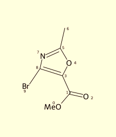 COC(=O)c1oc(C)nc1Br